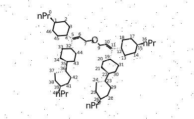 CCC[C@H]1CC[C@H](C(=CCOCC=C([C@H]2CC[C@H](CCC)CC2)[C@H]2CC[C@H]([C@H]3CC[C@H](CCC)CC3)CC2)[C@H]2CC[C@H]([C@H]3CC[C@H](CCC)CC3)CC2)CC1